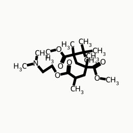 COC(=O)C(C)(CC(C)C(=O)OCCN(C)C)CC(C)(C(=O)OC)C(C)(C)C